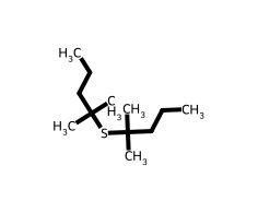 CCCC(C)(C)SC(C)(C)CCC